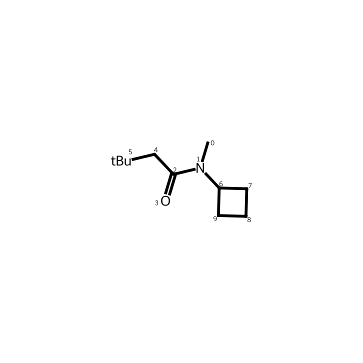 CN(C(=O)CC(C)(C)C)C1CCC1